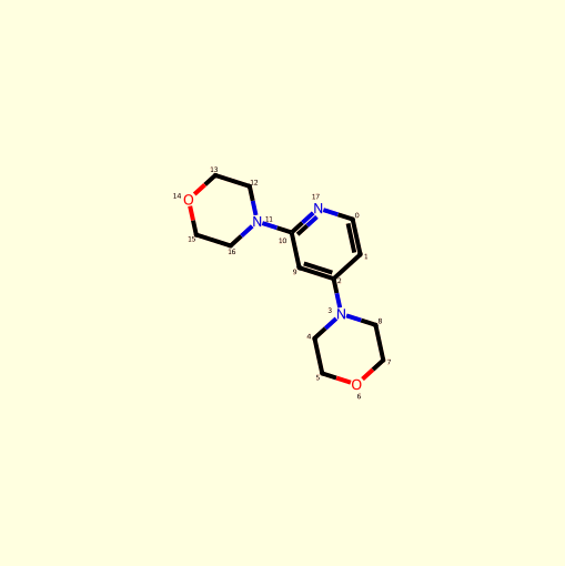 c1cc(N2CCOCC2)cc(N2CCOCC2)n1